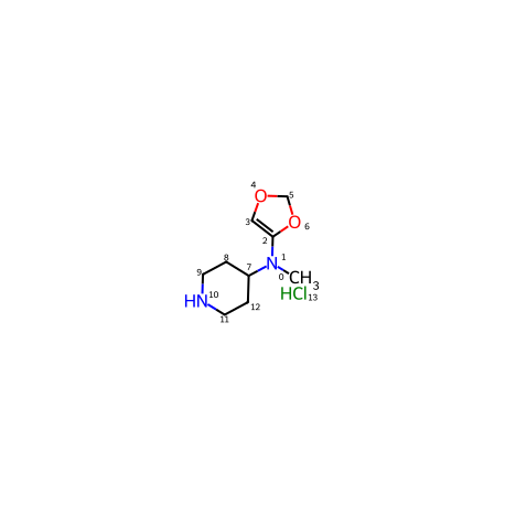 CN(C1=COCO1)C1CCNCC1.Cl